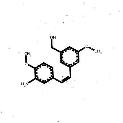 COc1cc(/C=C\c2ccc(OC)c(N)c2)cc(CO)c1